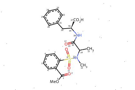 COC(=O)c1ccccc1S(=O)(=O)N(C)C(C)C(=O)N[C@@H](Cc1ccccc1)C(=O)O